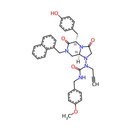 C#CCN(C(=O)NCc1ccc(OC)cc1)N1CC(=O)N2[C@@H](Cc3ccc(O)cc3)C(=O)N(Cc3cccc4ccccc34)C[C@@H]21